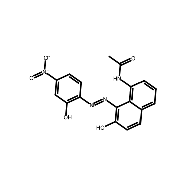 CC(=O)Nc1cccc2ccc(O)c(N=Nc3ccc([N+](=O)[O-])cc3O)c12